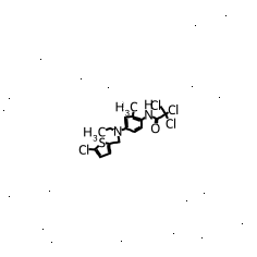 CCN(Cc1ccc(Cl)s1)c1ccc(NC(=O)C(Cl)(Cl)Cl)c(C)c1